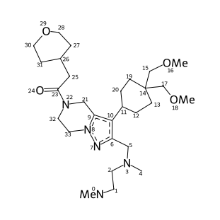 CNCCN(C)Cc1nn2c(c1C1CCC(COC)(COC)CC1)CN(C(=O)CC1CCOCC1)CC2